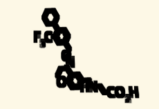 O=C(O)CCNCc1ccc2c(c1)C(=NOCc1ccc(C3CCCCC3)c(C(F)(F)F)c1)CCO2